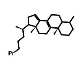 CC(C)CCC[C@@H](C)[C@H]1CC=C2C3=C(CC[C@@]21C)[C@@]1(C)CCCC(C)C1CC3